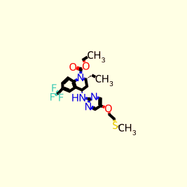 CCOC(=O)N1c2ccc(C(F)(F)F)cc2[C@@H](Nc2ncc(OCCSC)cn2)C[C@H]1CC